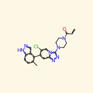 C=CC(=O)N1CCN(c2nnc3cc(-c4c(C)ccc5[nH]ncc45)c(Cl)cn23)CC1